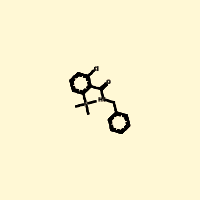 C[Si](C)(C)c1cccc(Cl)c1C(=O)NCc1ccccc1